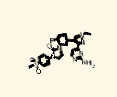 CCn1cc(-c2ccc(F)c(N3CCN(c4ccc(S(C)(=O)=O)cc4)C3=O)c2)c(-c2ccnc(N)n2)n1